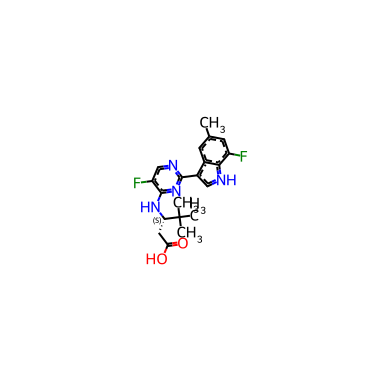 Cc1cc(F)c2[nH]cc(-c3ncc(F)c(N[C@@H](CC(=O)O)C(C)(C)C)n3)c2c1